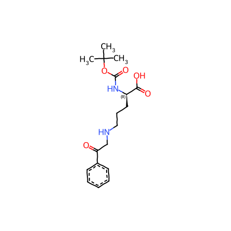 CC(C)(C)OC(=O)N[C@H](CCCNCC(=O)c1ccccc1)C(=O)O